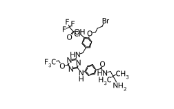 CC(C)(CN)CNC(=O)c1ccc(Nc2nc(NCc3ccc(OCCCBr)c(Cl)c3)nc(OCC(F)(F)F)n2)cc1.O=C(O)C(F)(F)F